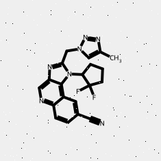 Cc1cn(Cc2nc3cnc4ccc(C#N)cc4c3n2C2CCCC2(F)F)nn1